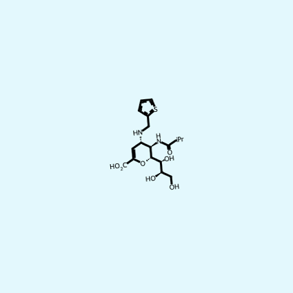 CC(C)C(=O)N[C@H]1[C@H]([C@H](O)[C@H](O)CO)OC(C(=O)O)=C[C@@H]1NCc1cccs1